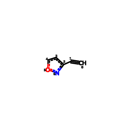 C#Cc1ccon1